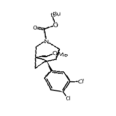 COC[C@@]12CN(C(=O)OC(C)(C)C)CC[C@]1(c1ccc(Cl)c(Cl)c1)C2